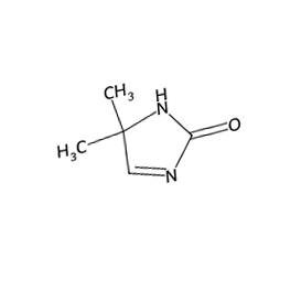 CC1(C)C=NC(=O)N1